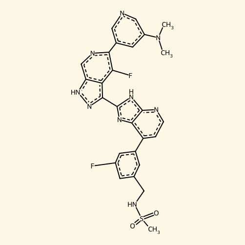 CN(C)c1cncc(-c2ncc3[nH]nc(-c4nc5c(-c6cc(F)cc(CNS(C)(=O)=O)c6)ccnc5[nH]4)c3c2F)c1